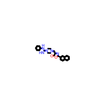 N=C(Nc1ccccc1)N1CCN(/C=C2/N=C(c3ccc4ccccc4c3)OC2=O)CC1